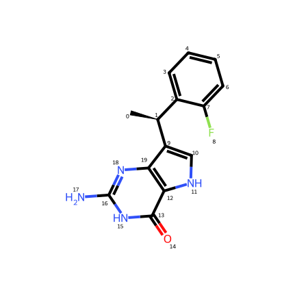 C[C@@H](c1ccccc1F)c1c[nH]c2c(=O)[nH]c(N)nc12